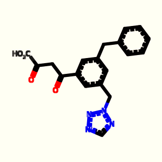 O=C(O)C(=O)CC(=O)c1cc(Cc2ccccc2)cc(Cn2ncnn2)c1